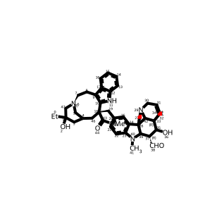 CCC1(O)CC2C[N@](CCc3c([nH]c4ccccc34)[C@](Cc3ccc4c(c3)C35CCN6CC=C[C@@](CC)(C(O)[C@H](C=O)C3N4C)C65)(C(=O)OC)C2)C1